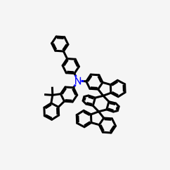 CC1(C)c2ccccc2-c2ccc(N(c3ccc(-c4ccccc4)cc3)c3ccc4c(c3)C3(c5ccccc5-4)c4ccccc4C4(c5ccccc5-c5ccccc54)c4ccccc43)cc21